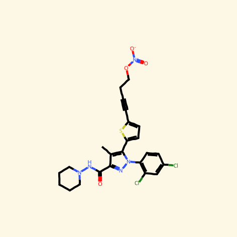 Cc1c(C(=O)NN2CCCCC2)nn(-c2ccc(Cl)cc2Cl)c1-c1ccc(C#CCCO[N+](=O)[O-])s1